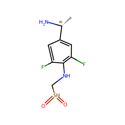 C[C@@H](N)c1cc(F)c(NC[SH](=O)=O)c(F)c1